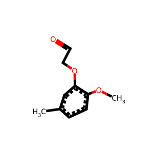 COc1ccc(C)cc1OCC=O